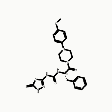 COc1ccc(N2CCN(C(=O)[C@H](Cc3ccccc3)NC(=O)Nc3n[nH]c(=S)s3)CC2)cc1